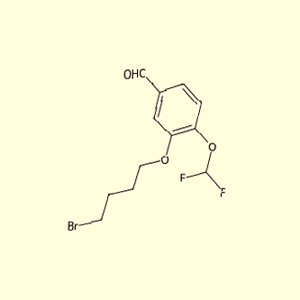 O=Cc1ccc(OC(F)F)c(OCCCCBr)c1